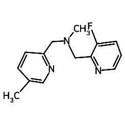 Cc1ccc(CN(C)Cc2ncccc2F)nc1